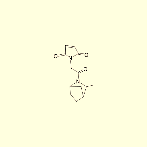 CC1C2CCC(C2)N1C(=O)CN1C(=O)C=CC1=O